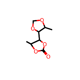 CC1OCOC1C1OC(=O)OC1C